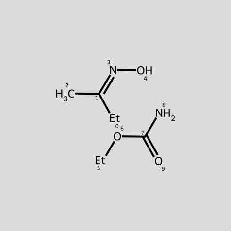 CC/C(C)=N\O.CCOC(N)=O